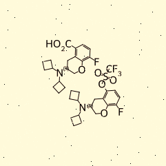 O=C(O)c1ccc(F)c2c1C[C@@H](N(C1CCC1)C1CCC1)CO2.O=S(=O)(Oc1ccc(F)c2c1C[C@@H](N(C1CCC1)C1CCC1)CO2)C(F)(F)F